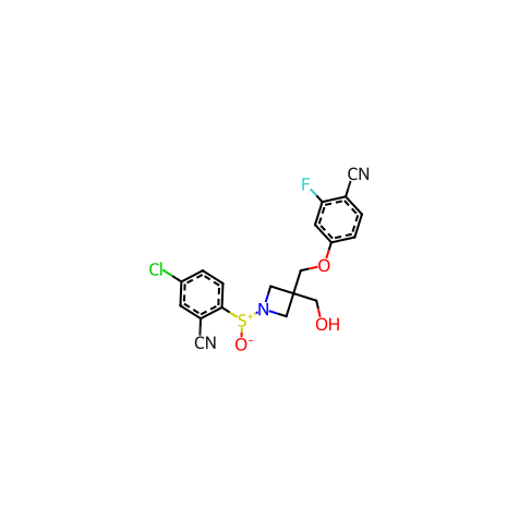 N#Cc1ccc(OCC2(CO)CN([S+]([O-])c3ccc(Cl)cc3C#N)C2)cc1F